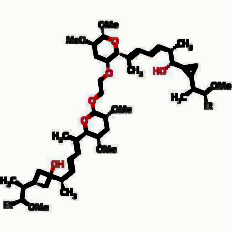 CC[C@H](OC)[C@@H](C)[C@@H]1C=C1[C@H](O)[C@@H](C)/C=C/C=C(\C)[C@H]1O[C@@H](OC)[C@H](OC)C[C@H]1OCCO[C@@H]1O[C@H](/C(C)=C/C=C/[C@H](C)[C@]2(O)C[C@H]([C@H](C)[C@H](CC)OC)C2)[C@@H](OC)C[C@H]1OC